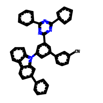 N#Cc1cccc(-c2cc(-c3nc(-c4ccccc4)nc(-c4ccccc4)n3)cc(-n3c4ccccc4c4ccc(-c5ccccc5)cc43)c2)c1